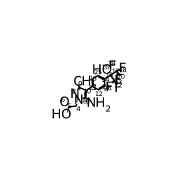 Cc1nn(CC(=O)O)c(N)c1-c1ccc(C(O)(C(F)(F)F)C(F)(F)F)cc1